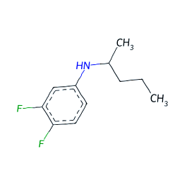 CCCC(C)Nc1ccc(F)c(F)c1